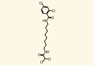 O=C(NCCCCCCCCNC(=O)C(Cl)Cl)c1ccc(Cl)cc1Cl